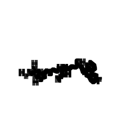 CN(CCCN/C(=N/CCSCc1csc(NC(=N)N)n1)NC#N)CCN(Cc1ccc(F)cc1)c1ccccn1